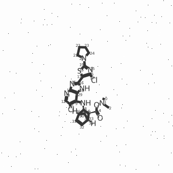 CN(C)OC(=O)[C@@H]1[C@H](Nc2c(Cl)cnc3nc(-c4sc(N5CCCC5)nc4Cl)[nH]c23)[C@H]2C=C[C@@H]1C2